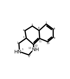 [C]1NCC2CCC3C=CC=CC3=C2N1